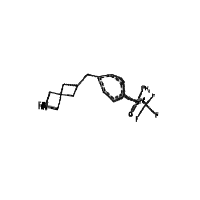 O=[SH](P)(c1ccc(CC2CC3(CNC3)C2)cc1)C(F)(F)F